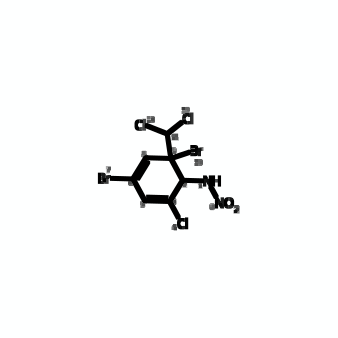 O=[N+]([O-])NC1C(Cl)=CC(Br)=CC1(Br)C(Cl)Cl